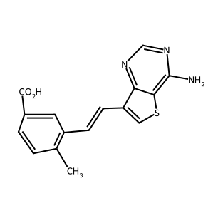 Cc1ccc(C(=O)O)cc1/C=C/c1csc2c(N)ncnc12